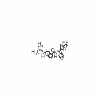 CC(C)CNc1ccc2c(C(=O)NCC(c3cnc(C(F)(F)F)nc3)N3CCOCC3)cccc2n1